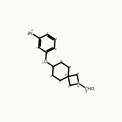 CC(C)c1cccc(OC2CCC3(CC2)CN(C=O)C3)c1